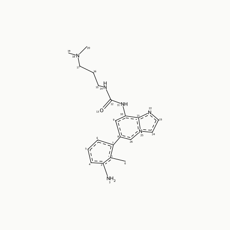 Cc1c(N)cccc1-c1cc(NC(=O)NCCCN(C)C)c2nccn2c1